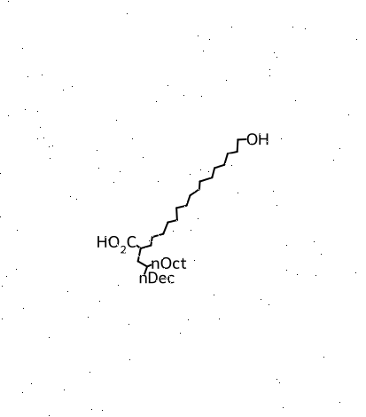 CCCCCCCCCCC(CCCCCCCC)CC(CCCCCCCCCCCCCCCCO)C(=O)O